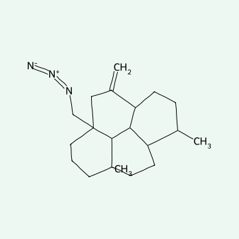 C=C1CC2(CN=[N+]=[N-])CCCC3(C)CCC4C(C)CCC1C4C32